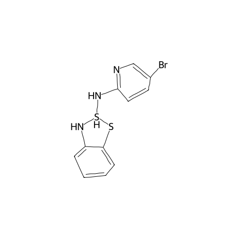 Brc1ccc(N[SH]2Nc3ccccc3S2)nc1